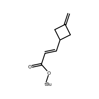 C=C1CC(C=CC(=O)OC(C)(C)C)C1